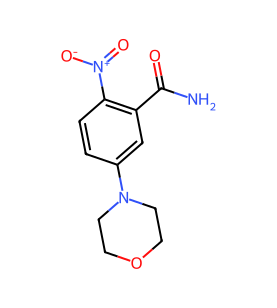 NC(=O)c1cc(N2CCOCC2)ccc1[N+](=O)[O-]